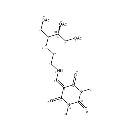 CC(=O)OCC(OCCNC=C1C(=O)N(C)C(=O)N(C)C1=O)[C@H](COC(C)=O)OC(C)=O